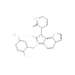 COc1ccc([N+](=O)[O-])cc1Cn1c(C(=O)O)c(-c2ccc[nH]c2=O)c2c3occc3ccc21